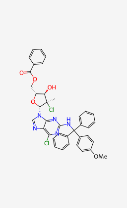 COc1ccc(C(Nc2nc(Cl)c3ncn([C@@H]4O[C@H](COC(=O)c5ccccc5)[C@@H](O)[C@@]4(C)Cl)c3n2)(c2ccccc2)c2ccccc2)cc1